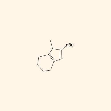 CCCCC1=[C]C2=C(CCCC2)C1C